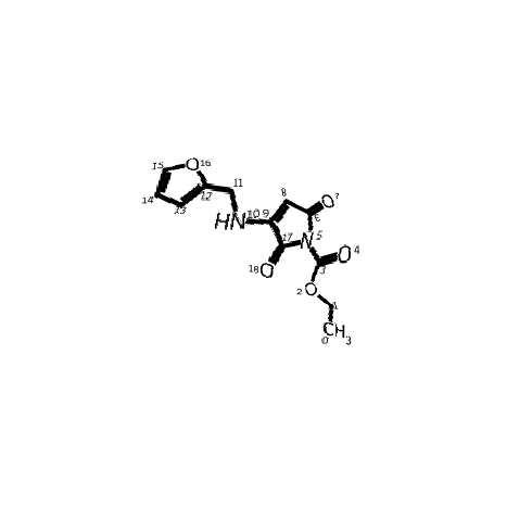 CCOC(=O)N1C(=O)C=C(NCc2ccco2)C1=O